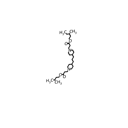 CCC(C)CCOC(=O)CCN1CCC(CCCC2CCN(CCC(=O)OCCC(C)C)CC2)CC1